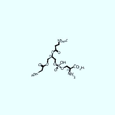 CCCCCCCCCCCCC(=O)O[C@H](COC(=O)CCCCCCCCCCC)COP(=O)(O)OC[C@H](N)C(=O)O